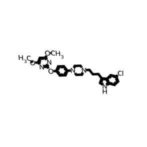 COc1cc(OC)nc(Oc2ccc(N3CCN(CCCc4c[nH]c5ccc(Cl)cc45)CC3)cc2)n1